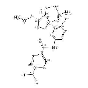 COC[C@H]1OC[C@]2(c3cc(NC(=O)c4cnc(C(F)F)cn4)ccc3F)N=C(N)SC[C@H]12